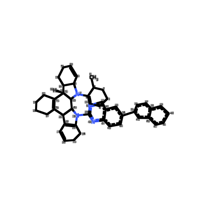 CC1CCCC=C1N1C2C=CCCC2[C@H]2C3=C(CCCC3)C3C4=C(CCC=C4)N(c4ncc5cc(-c6ccc7ccccc7c6)ccc5n4)C3C21